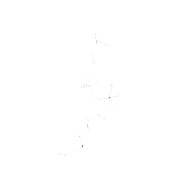 COC(=O)CCNC(=O)[C@@H]1OP(=O)(OCOC(=O)C(C)(C)C)OCC1(C)C